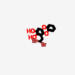 Oc1cc2c(c(CC(Br)Br)c1O)Oc1ccccc1O2